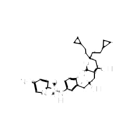 CC(C)(CC1=C(O)CC(CCC2CC2)(CCC2CC2)OC1=O)Cc1cccc(NS(=O)(=O)c2ccc(C#N)cn2)c1